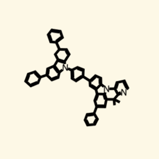 CC1(C)c2ncccc2-n2c3ccc(-c4ccc(-n5c6c(c7cc(-c8ccccc8)ccc75)CC(c5ccccc5)C=C6)cc4)cc3c3cc(-c4ccccc4)cc1c32